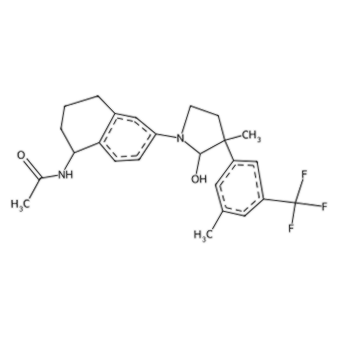 CC(=O)NC1CCCc2cc(N3CCC(C)(c4cc(C)cc(C(F)(F)F)c4)C3O)ccc21